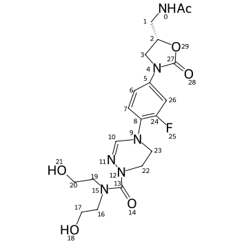 CC(=O)NC[C@H]1CN(c2ccc(N3C=NN(C(=O)N(CCO)CCO)CC3)c(F)c2)C(=O)O1